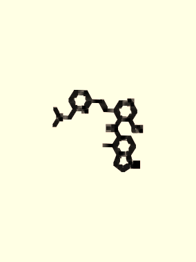 Cc1c(Nc2c(C#N)cncc2/C=C/c2cccc(CN(C)C)n2)ccc2[nH]ccc12